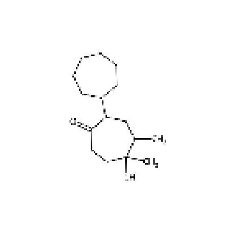 CC1CC(C2CCCCCC2)C(=O)CCC1(C)C